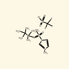 C[n+]1ccn(S(C)(=O)=N[Si](C)(C)C(C)(C)C)c1.O=S(=O)([O-])C(F)(F)F